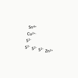 [Cu+2].[S-2].[S-2].[S-2].[S-2].[Sn+4].[Zn+2]